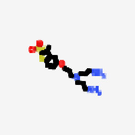 Cc1c([SH](=O)=O)sc2ccc(OCCCN(CCCN)CCCN)cc12